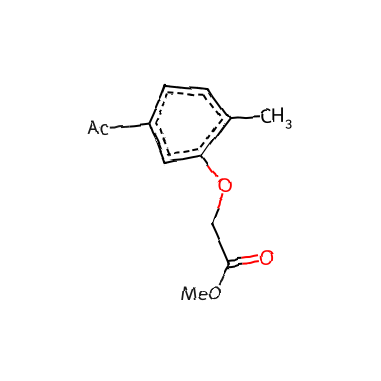 COC(=O)COc1cc(C(C)=O)ccc1C